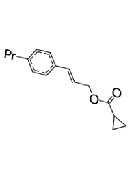 CC(C)c1ccc(C=CCOC(=O)C2CC2)cc1